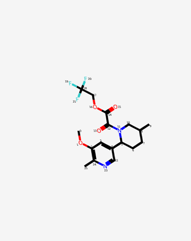 COc1cc(C2CCC(C)CN2C(=O)C(=O)OCC(F)(F)F)cnc1C